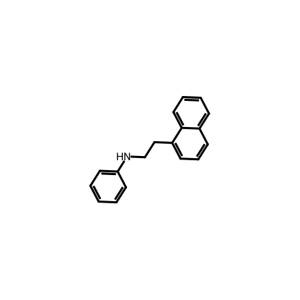 c1ccc(NCCc2cccc3ccccc23)cc1